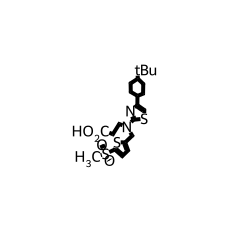 CC(C)(C)C1CCC(c2csc(N(CCC(=O)O)Cc3ccc(S(C)(=O)=O)s3)n2)CC1